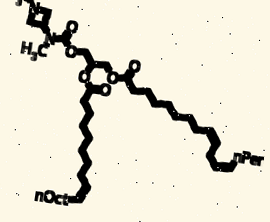 CCCCC/C=C\C/C=C\CCCCCCCC(=O)OCC(COC(=O)N(C)C1CN(C)C1)OC(=O)CCCCCCC/C=C\CCCCCCCC